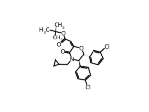 CC(C)(C)OC(=O)/C=C1/O[C@H](c2cccc(Cl)c2)[C@@H](c2ccc(Cl)cc2)N(CC2CC2)C1=O